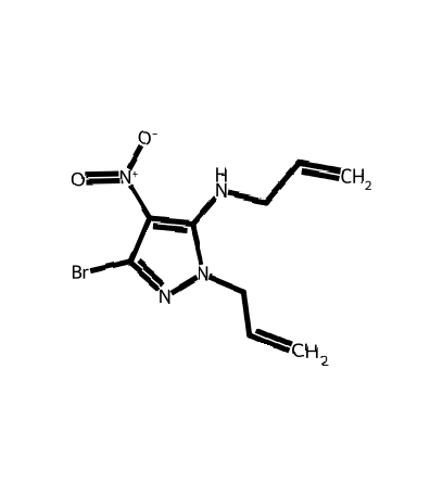 C=CCNc1c([N+](=O)[O-])c(Br)nn1CC=C